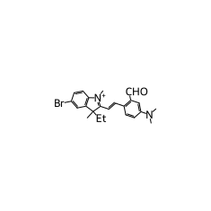 CCC1(C)C(/C=C/c2ccc(N(C)C)cc2C=O)=[N+](C)c2ccc(Br)cc21